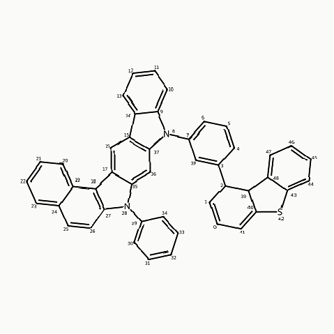 C1=CC(c2cccc(-n3c4ccccc4c4cc5c6c7ccccc7ccc6n(-c6ccccc6)c5cc43)c2)C2C(=C1)Sc1ccccc12